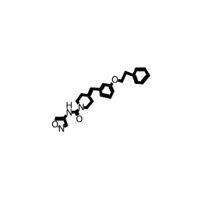 O=C(Nc1cnoc1)N1CCC(=Cc2cccc(OCCc3ccccc3)c2)CC1